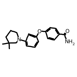 CC1(C)CCCN(c2cccc(Oc3ccc(C(N)=O)cc3)c2)C1